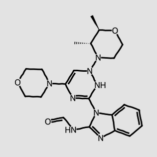 C[C@@H]1[C@@H](C)OCCN1N1C=C(N2CCOCC2)N=C(n2c(NC=O)nc3ccccc32)N1